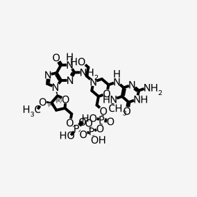 CNc1c(NC2CN(CCO)CC(COP(=O)(O)OP(=O)(O)OP(=O)(O)OCC3C[C@@H](OC)[C@H](n4cnc5c(=O)[nH]c(N)nc54)O3)O2)nc(N)[nH]c1=O